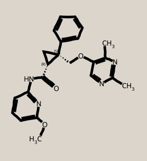 COc1cccc(NC(=O)[C@@H]2C[C@@]2(COc2cnc(C)nc2C)c2ccccc2)n1